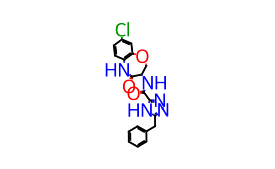 O=C(NC1COc2cc(Cl)ccc2NC1=O)c1nnc(Cc2ccccc2)[nH]1